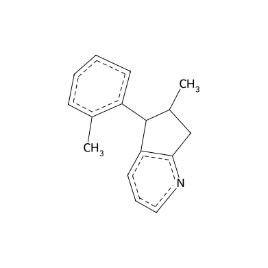 Cc1ccccc1C1c2cccnc2CC1C